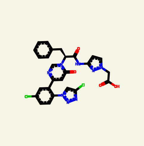 O=C(O)Cn1ccc(NC(=O)[C@H](Cc2ccccc2)n2cnc(-c3cc(Cl)ccc3-n3cc(Cl)nn3)cc2=O)n1